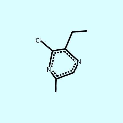 CCc1ncc(C)nc1Cl